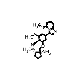 CC[C@H]1CCC[C@]1(N)COc1cc(-c2cnc3cccc(OC)n23)cc(SC)c1C#N